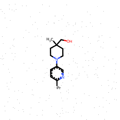 CC(C)c1ccc(N2CCC(C)(CO)CC2)cn1